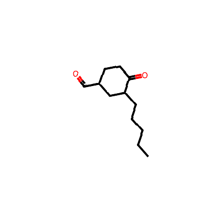 CCCCCC1CC(C=O)CCC1=O